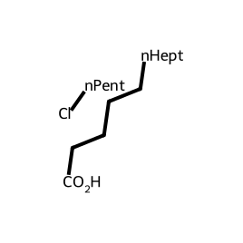 CCCCCCCCCCCC(=O)O.CCCCCCl